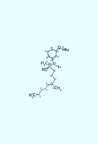 C=CCCC=C(C)CCCC(C)(O)C(I)c1cccc(OCCCC)c1